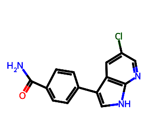 NC(=O)c1ccc(-c2c[nH]c3ncc(Cl)cc23)cc1